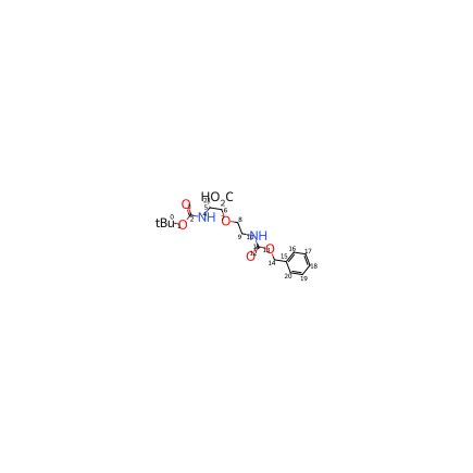 CC(C)(C)OC(=O)N[C@@H](COCCNC(=O)OCc1ccccc1)C(=O)O